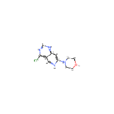 Clc1ncnc2cc(N3CCOCC3)ncc12